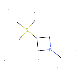 CN1CC(S(C)(C)C)C1